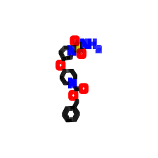 NS(=O)(=O)N1CCC(OC2CCN(C(=O)OCc3ccccc3)CC2)C1